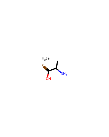 CC(N)C(O)=S.[SeH2]